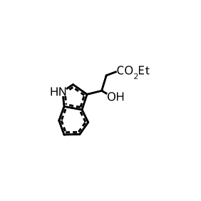 CCOC(=O)CC(O)c1c[nH]c2ccccc12